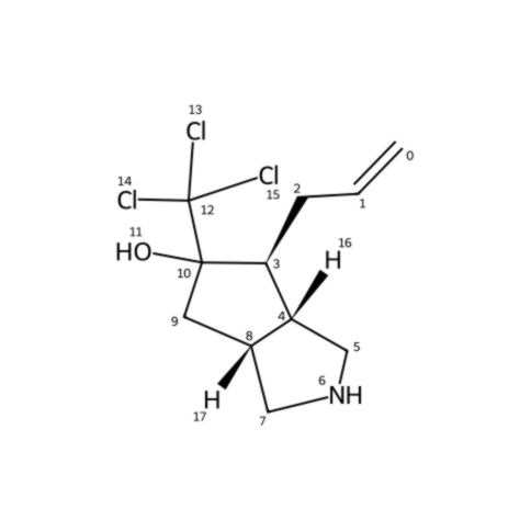 C=CC[C@H]1[C@@H]2CNC[C@@H]2CC1(O)C(Cl)(Cl)Cl